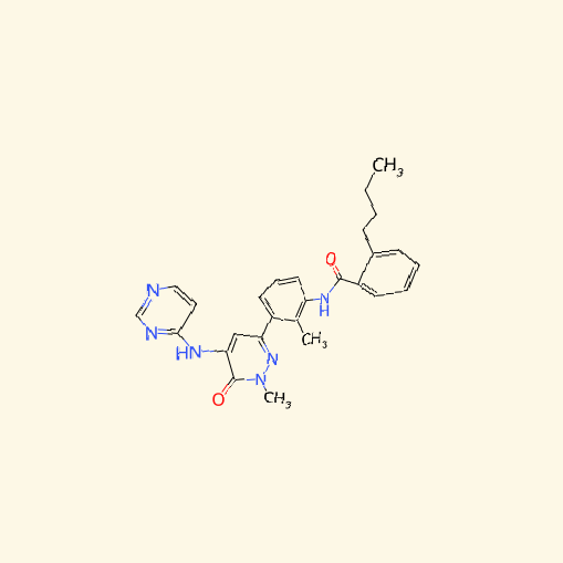 CCCCc1ccccc1C(=O)Nc1cccc(-c2cc(Nc3ccncn3)c(=O)n(C)n2)c1C